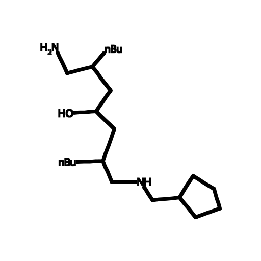 CCCCC(CN)CC(O)CC(CCCC)CNCC1CCCC1